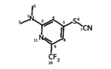 CN(C)c1cc(SC#N)cc(C(F)(F)F)n1